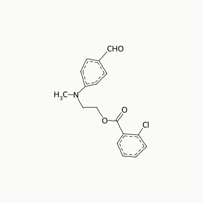 CN(CCOC(=O)c1ccccc1Cl)c1ccc(C=O)cc1